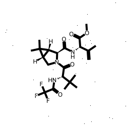 C=C(C)[C@H](NC(=O)[C@@H]1[C@@H]2[C@H](CN1C(=O)[C@@H](NC(=O)C(F)(F)F)C(C)(C)C)C2(C)C)C(=O)OC